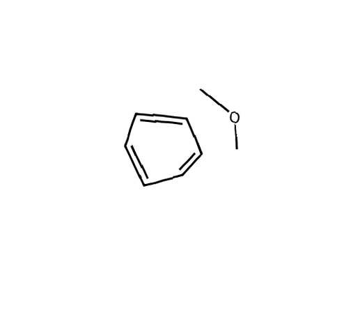 COC.c1ccccc1